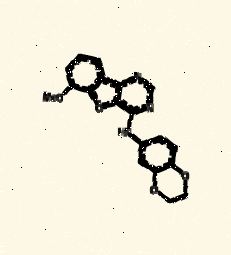 COc1cccc2c1oc1c(Nc3ccc4c(c3)OCCO4)ncnc12